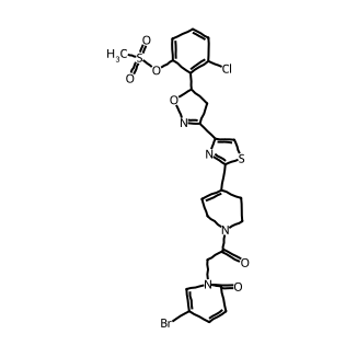 CS(=O)(=O)Oc1cccc(Cl)c1C1CC(c2csc(C3=CCN(C(=O)Cn4cc(Br)ccc4=O)CC3)n2)=NO1